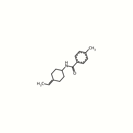 CC=C1CCC(NC(=O)c2ccc(C)cc2)CC1